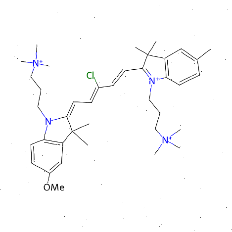 COc1ccc2c(c1)C(C)(C)\C(=C/C=C(Cl)/C=C/C1=[N+](CCC[N+](C)(C)C)c3ccc(C)cc3C1(C)C)N2CCC[N+](C)(C)C